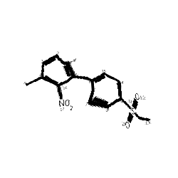 Cc1[c]ccc(-c2ccc(S(C)(=O)=O)cc2)c1[N+](=O)[O-]